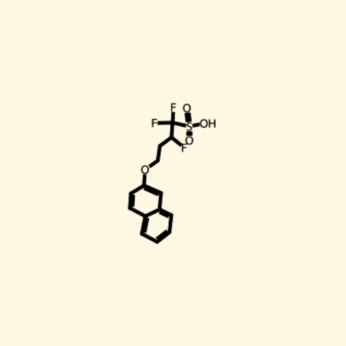 O=S(=O)(O)C(F)(F)C(F)CCOc1ccc2ccccc2c1